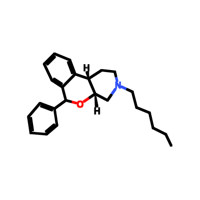 CCCCCCN1CC[C@H]2c3ccccc3C(c3ccccc3)O[C@H]2C1